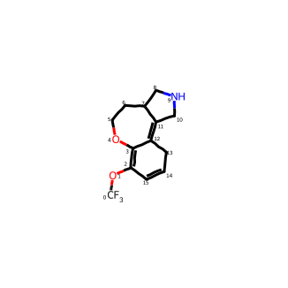 FC(F)(F)OC1=C2OCCC3CNCC3=C2CC=C1